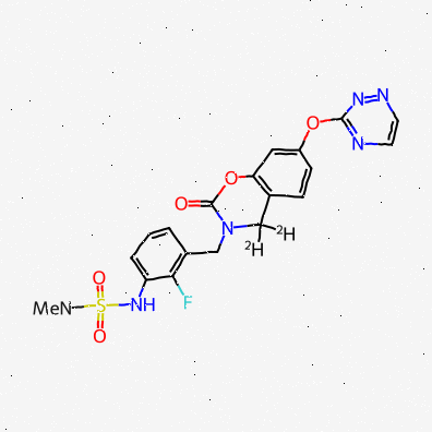 [2H]C1([2H])c2ccc(Oc3nccnn3)cc2OC(=O)N1Cc1cccc(NS(=O)(=O)NC)c1F